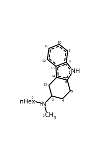 CCCCCCN(C)C1CCc2[nH]c3ccccc3c2C1